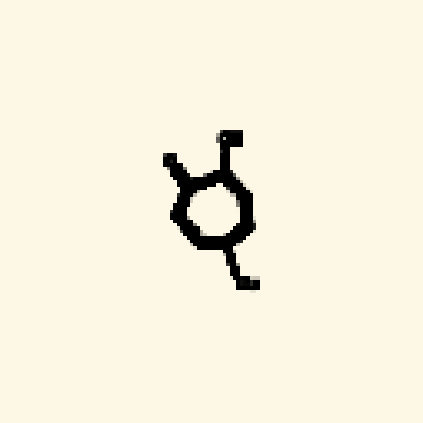 CCC(C)c1ccc(O)c(=O)cc1